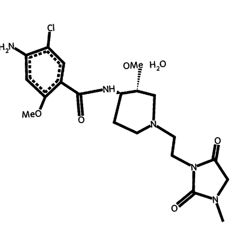 COc1cc(N)c(Cl)cc1C(=O)N[C@H]1CCN(CCN2C(=O)CN(C)C2=O)C[C@H]1OC.O